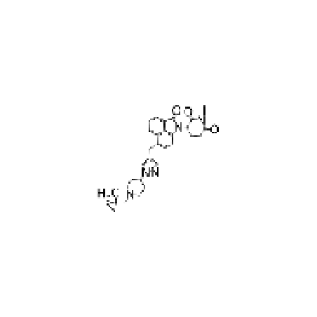 CC1(CN2CCC(n3cc(Cc4ccc5c6c(cccc46)C(=O)N5[C@H]4CCC(=O)NC4=O)cn3)CC2)CC1